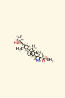 CCC(CC)(c1ccc(C#CC2(O)CCCC2)c(C)c1)c1ccc(-c2cncc(CC(=O)OC)c2)c(C)c1